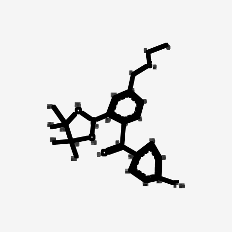 CCSCc1ccc(C(=O)c2ccc(F)cc2)c(B2OC(C)(C)C(C)(C)O2)c1